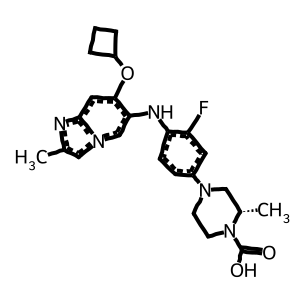 Cc1cn2cc(Nc3ccc(N4CCN(C(=O)O)[C@@H](C)C4)cc3F)c(OC3CCC3)cc2n1